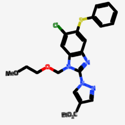 CCOC(=O)c1cnn(-c2nc3cc(Sc4ccccc4)c(Cl)cc3n2COCCOC)c1